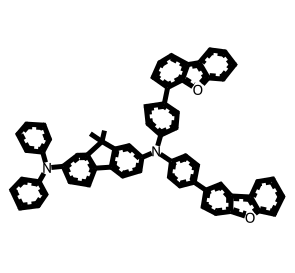 CC1(C)c2cc(N(c3ccccc3)c3ccccc3)ccc2-c2ccc(N(c3ccc(-c4ccc5oc6ccccc6c5c4)cc3)c3ccc(-c4cccc5c4oc4ccccc45)cc3)cc21